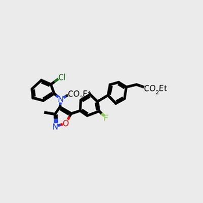 CCOC(=O)Cc1ccc(-c2ccc(-c3onc(C)c3N(C(=O)OCC)c3ccccc3Cl)cc2F)cc1